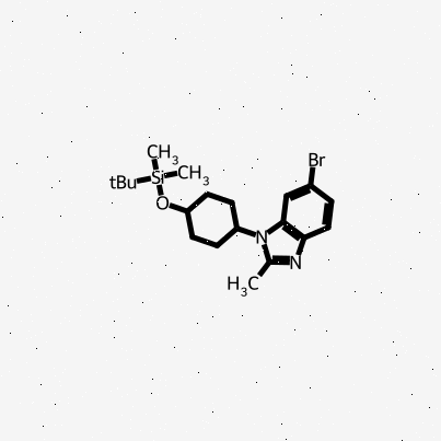 Cc1nc2ccc(Br)cc2n1C1CCC(O[Si](C)(C)C(C)(C)C)CC1